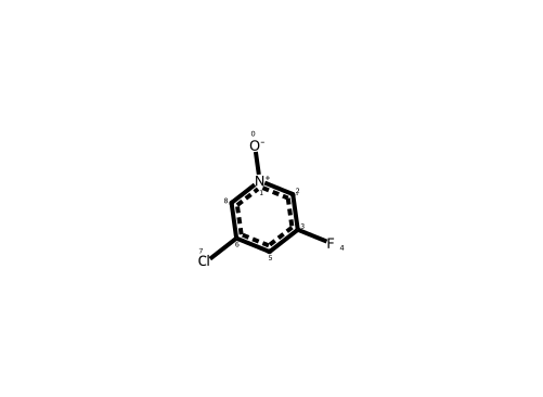 [O-][n+]1[c]c(F)cc(Cl)c1